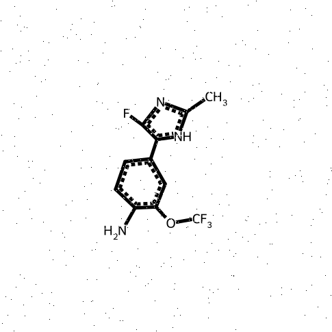 Cc1nc(F)c(-c2ccc(N)c(OC(F)(F)F)c2)[nH]1